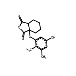 Cc1cc(O)cc(OC23CCCCC2C(=O)OC3=O)c1C